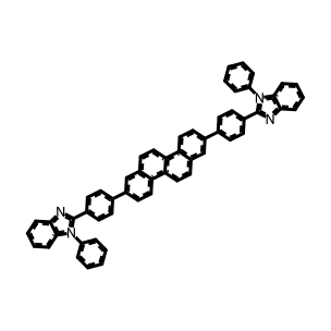 c1ccc(-n2c(-c3ccc(-c4ccc5c(ccc6c7ccc(-c8ccc(-c9nc%10ccccc%10n9-c9ccccc9)cc8)cc7ccc56)c4)cc3)nc3ccccc32)cc1